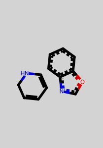 C1=CCNC=C1.c1ccc2ocnc2c1